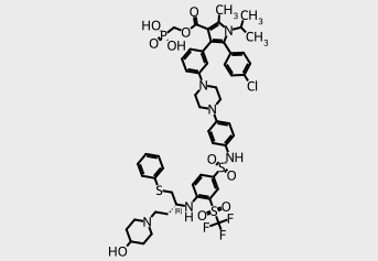 Cc1c(C(=O)OCP(=O)(O)O)c(-c2cccc(N3CCN(c4ccc(NS(=O)(=O)c5ccc(N[C@H](CCN6CCC(O)CC6)CSc6ccccc6)c(S(=O)(=O)C(F)(F)F)c5)cc4)CC3)c2)c(-c2ccc(Cl)cc2)n1C(C)C